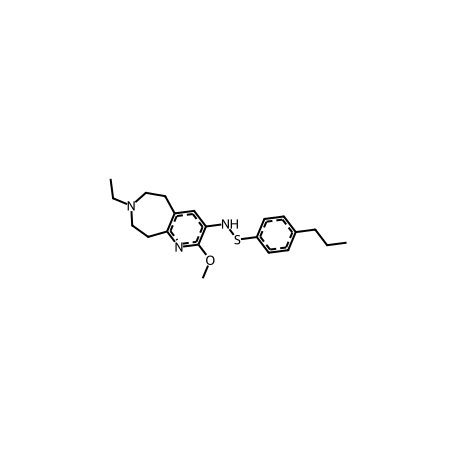 CCCc1ccc(SNc2cc3c(nc2OC)CCN(CC)CC3)cc1